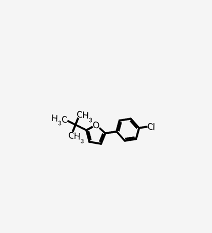 CC(C)(C)c1ccc(-c2ccc(Cl)cc2)o1